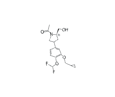 CC(=O)N1CC(c2ccc(OC(F)F)c(OCC3CC3)c2)C[C@@H]1CO